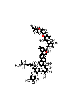 CC1OC(OC(=O)[C@]23CCC(C)(C)CC2C2=CCC4[C@@]5(C)CC[C@H](OC6OC(C(=O)NC(C)(CCCNC(=N)N)C(=O)O)C(O)C(OC7OCC(O)C(O)C7O)C6OC6OC(CO)C(O)C(O)C6O)[C@@](C)(C=O)C5CC[C@@]4(C)[C@]2(C)C[C@H]3O)C(OC2OC(C)C(OC3OCC(O)C(OC4OCC(O)(CO)C4O)C3O)C(C)C2O)C(O)C1O